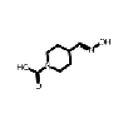 O=C(O)N1CCC(/C=N/O)CC1